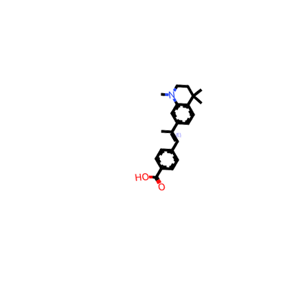 C/C(=C\c1ccc(C(=O)O)cc1)c1ccc2c(c1)N(C)CCC2(C)C